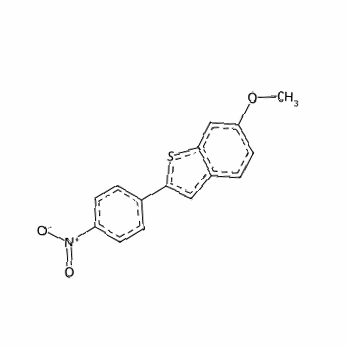 COc1ccc2cc(-c3ccc([N+](=O)[O-])cc3)sc2c1